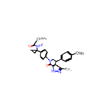 COC(=O)NC1(c2ccc(N3CC(c4ccc(OC)cc4)c4c(C(F)(F)F)n[nH]c4C3=O)cc2)CC1